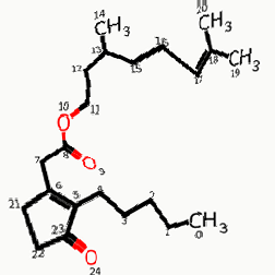 CCCCCC1=C(CC(=O)OCCC(C)CCC=C(C)C)CCC1=O